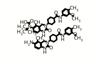 COc1cc(NC(=O)C2CCC(N3Cc4c(ccc(N(C(=O)O)C(C)(C)C)c4C)NC3=O)CC2)ccc1C.COc1cc(NC(=O)C2CCC(N3Cc4c(ccc(N)c4C)NC3=O)CC2)ccc1C